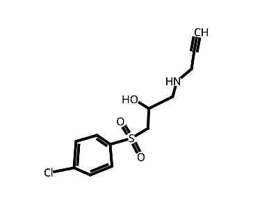 C#CCNCC(O)CS(=O)(=O)c1ccc(Cl)cc1